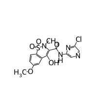 COc1ccc2c(c1)C(O)=C(C(=O)Nc1cncc(Cl)n1)N(C)S2(=O)=O